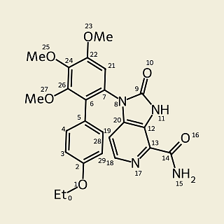 CCOc1ccc(-c2c(-n3c(=O)[nH]c4c(C(N)=O)nccc43)cc(OC)c(OC)c2OC)cc1